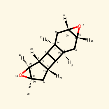 C1[C@@H]2O[C@@H]2C[C@H]2C3C([C@H]4[C@@H]5O[C@@H]5C[C@@H]34)[C@@H]12